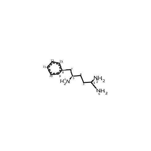 NC(N)CC[C@@H](N)Cc1ccccc1